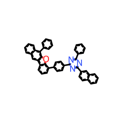 c1ccc(-c2nc(-c3ccc(-c4cccc5c4oc4c(-c6ccccc6)c6ccccc6cc45)cc3)nc(-c3ccc4ccccc4c3)n2)cc1